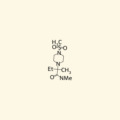 CCC(C)(C(=O)NC)N1CCN(S(C)(=O)=O)CC1